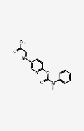 CN(C(=O)Oc1ccc(NCC(=O)O)cn1)c1ccccc1